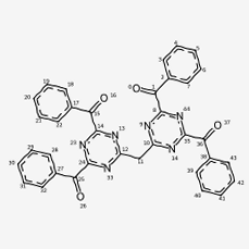 O=C(c1ccccc1)c1nc(Cc2nc(C(=O)c3ccccc3)nc(C(=O)c3ccccc3)n2)nc(C(=O)c2ccccc2)n1